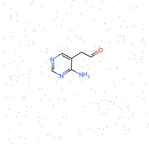 Nc1ncncc1CC=O